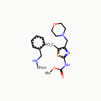 CC(C)(C)OC(=O)Nc1nc(CN2CCOCC2)c(C(=O)O)s1.CCCCCNCc1ccccc1